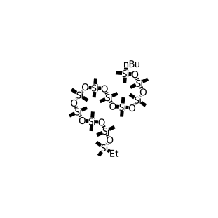 CCCC[Si](C)(C)O[Si](C)(C)O[Si](C)(C)O[Si](C)(C)O[Si](C)(C)O[Si](C)(C)O[Si](C)(C)O[Si](C)(C)O[Si](C)(C)O[Si](C)(C)O[Si](C)(C)CC